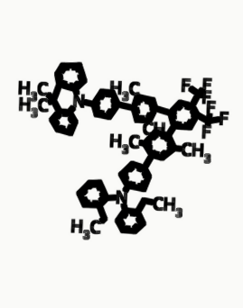 CCc1ccccc1N(c1ccc(-c2cc(C)c(-c3cc(C(F)(F)F)c(C(F)(F)F)cc3-c3cc(C)c(-c4ccc(N5c6ccccc6C(C)(C)c6ccccc65)cc4)cc3C)cc2C)cc1)c1ccccc1CC